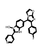 O[n+]1c(-c2ccncc2)[nH]c2cc(-c3c(-c4ccc(F)cc4)nc4occn34)ccc21